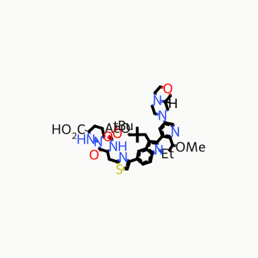 CCn1c(-c2cc(N3CCN4CCOC[C@@H]4C3)cnc2C(C)OC)c(CC(C)(C)COC(C)=O)c2cc(-c3csc(CC(NC(=O)OC(C)(C)C)C(=O)N4CCC[C@@H](C(=O)O)N4)n3)ccc21